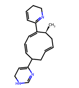 C[C@H]1C/C=C/CC(C2=CCNC=N2)/C=C\C=C/1C1=NCCC=C1